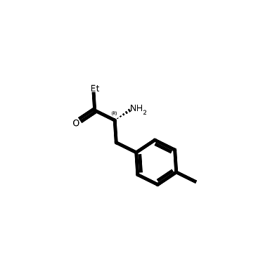 CCC(=O)[C@H](N)Cc1ccc(C)cc1